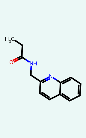 CCC(=O)NCc1ccc2ccccc2n1